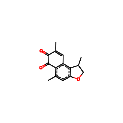 CC1=Cc2c(c(C)cc3c2C(C)CO3)C(=O)C1=O